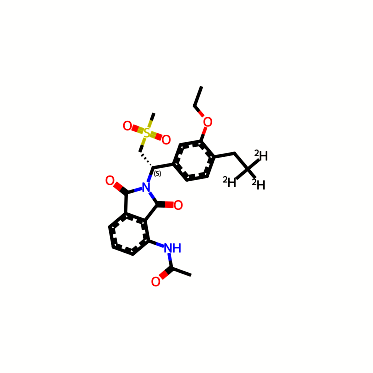 [2H]C([2H])([2H])Cc1ccc([C@@H](CS(C)(=O)=O)N2C(=O)c3cccc(NC(C)=O)c3C2=O)cc1OCC